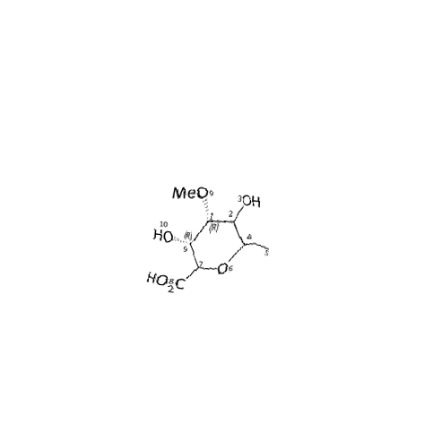 CO[C@@H]1C(O)C(C)OC(C(=O)O)[C@@H]1O